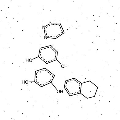 Oc1cccc(O)c1.Oc1cccc(O)c1.c1ccc2c(c1)CCCC2.c1cnnnc1